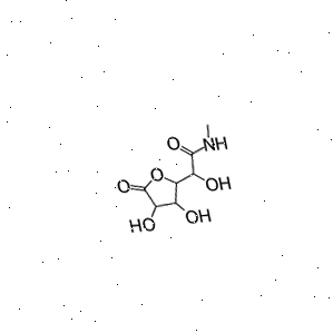 CNC(=O)C(O)C1OC(=O)C(O)C1O